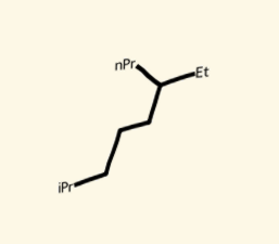 [CH2]CC(CCC)CCCC(C)C